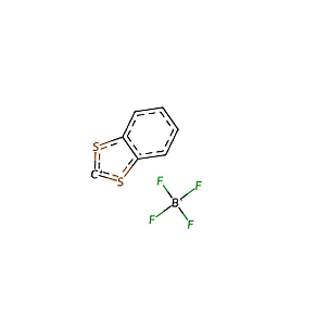 F[B-](F)(F)F.c1ccc2s[cH+]sc2c1